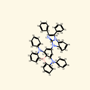 c1ccc(-c2nc3n(-c4cc5c6c(c4)N(c4ccccc4)c4ccccc4B6c4ccccc4N5c4ccccc4)c4ccccc4n3c2-c2ccccc2)cc1